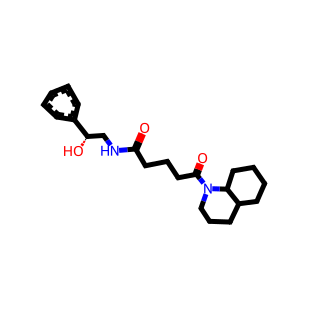 O=C(CCCC(=O)N1CCCC2CCCCC21)NC[C@H](O)c1ccccc1